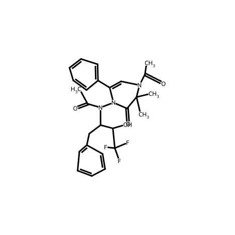 CC(=O)N(C(Cc1ccccc1)C(O)C(F)(F)F)N1C(=O)C(C)(C)N(C(C)=O)C=C1c1ccccc1